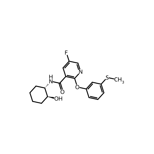 CSc1cccc(Oc2ncc(F)cc2C(=O)N[C@H]2CCCC[C@@H]2O)c1